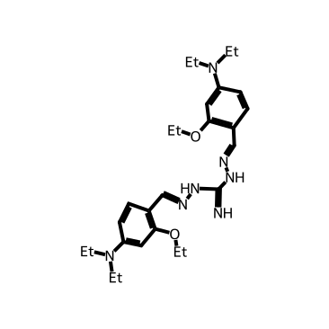 CCOc1cc(N(CC)CC)ccc1/C=N/NC(=N)N/N=C/c1ccc(N(CC)CC)cc1OCC